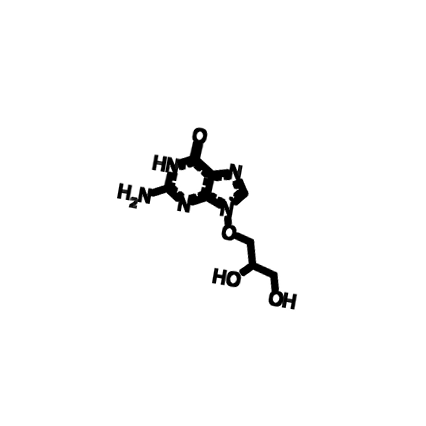 Nc1nc2c(ncn2OCC(O)CO)c(=O)[nH]1